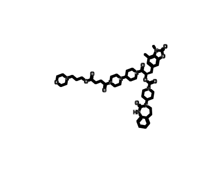 Cc1cc(C[C@@H](OC(=O)N2CCC(N3CCc4ccccc4NC3=O)CC2)C(=O)N2CCC(N3CCN(C(=O)CCC(=O)OCCCN4CCOCC4)CC3)CC2)cc2oc(=O)n(C)c12